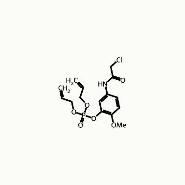 C=CCOP(=O)(OCC=C)Oc1cc(NC(=O)CCl)ccc1OC